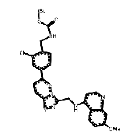 COc1ccc2c(NCc3nnc4ccc(-c5ccc(CNC(=O)OC(C)(C)C)c(Cl)c5)nn34)ccnc2c1